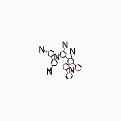 N#CC1=CC(C2=C(N3C4=C(CCC=C4)C4C#CC=CC43)CCC=C2)CC=C1c1cc(C#N)cc(-n2c3ccc(C#N)cc3c3cc(C#N)ccc32)c1